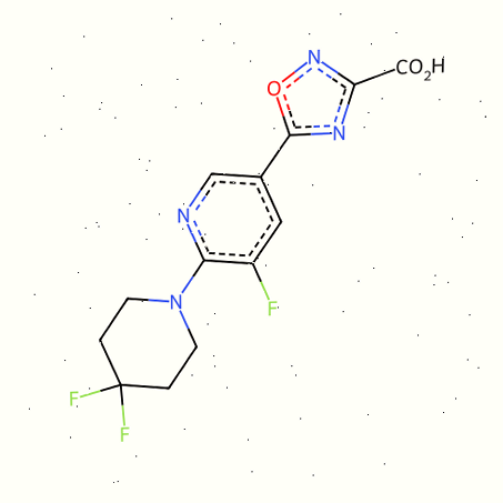 O=C(O)c1noc(-c2cnc(N3CCC(F)(F)CC3)c(F)c2)n1